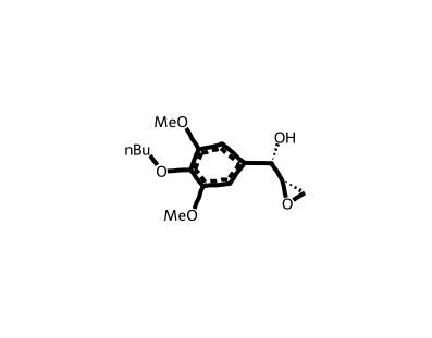 CCCCOc1c(OC)cc([C@H](O)[C@@H]2CO2)cc1OC